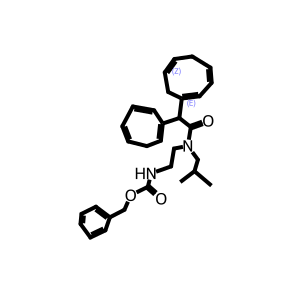 CC(C)CN(CCNC(=O)OCc1ccccc1)C(=O)C(C1=CCC=CC=C1)/C1=C/C=CC/C=C\C1